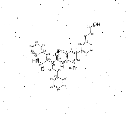 CC(C)c1cc(-c2cccc(CCCO)c2)cc(C(C)C)c1NC(=O)N(CCc1ccccc1)c1cc2cccnc2[nH]c1=O